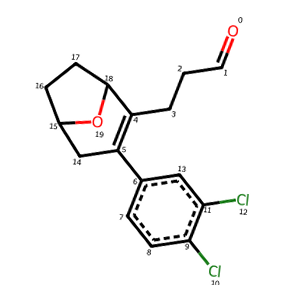 O=CCCC1=C(c2ccc(Cl)c(Cl)c2)CC2CCC1O2